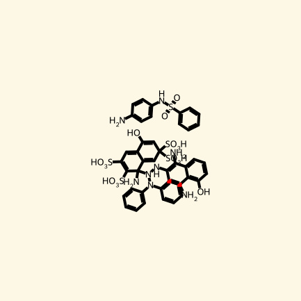 Nc1c(NN(N(c2ccccc2)c2ccccc2)C2(N)C3=CC(S(=O)(=O)O)(S(=O)(=O)O)C=C(O)C3=CC(S(=O)(=O)O)=C2S(=O)(=O)O)cc(N)c2c(O)cccc12.Nc1ccc(NS(=O)(=O)c2ccccc2)cc1